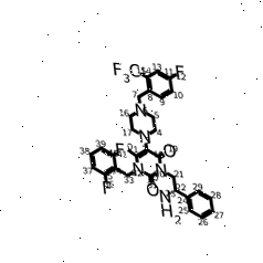 Cc1c(N2CCN(Cc3ccc(F)cc3C(F)(F)F)CC2)c(=O)n(C[C@@H](N)c2ccccc2)c(=O)n1Cc1c(F)cccc1F